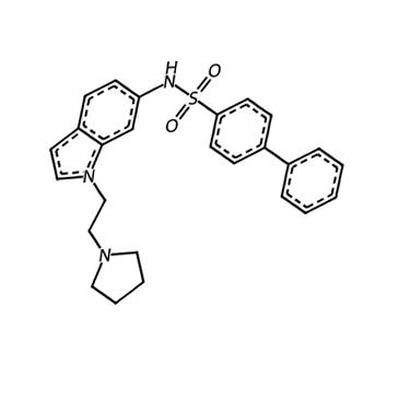 O=S(=O)(Nc1ccc2ccn(CCN3CCCC3)c2c1)c1ccc(-c2ccccc2)cc1